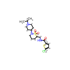 CC(C)N1CCC(N2CCCC(CNC(=O)c3ccc(Cl)s3)S2(=O)=O)CC1